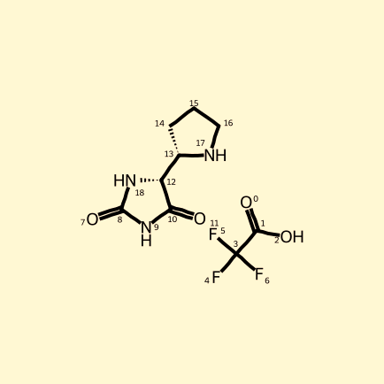 O=C(O)C(F)(F)F.O=C1NC(=O)[C@@H]([C@@H]2CCCN2)N1